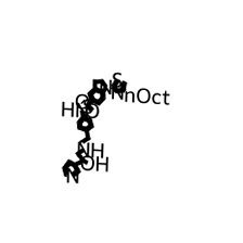 CCCCCCCCc1csc(N2CCc3cc(S(=O)(=O)Nc4ccc(CCNCC(O)c5cccnc5)cc4)ccc32)n1